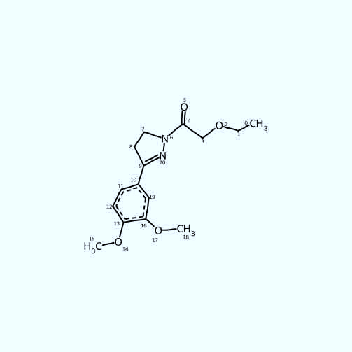 CCOCC(=O)N1CCC(c2ccc(OC)c(OC)c2)=N1